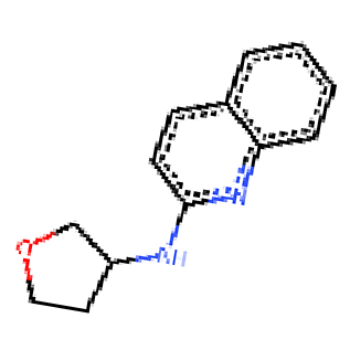 c1ccc2nc(NC3CCOC3)ccc2c1